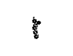 O=C(c1ccoc1)N(Cc1ccc(N2CCN(c3ccccn3)CC2)nc1)c1ccc(F)cc1